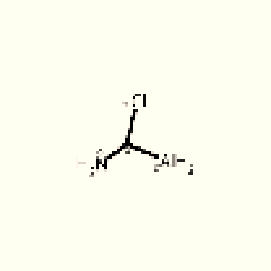 N[CH]([AlH2])Cl